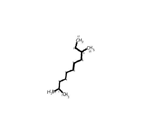 BC(C)CCCCCCC(C)CC